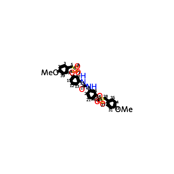 COc1ccc(CS(=O)(=O)Oc2cccc(NC(=O)Nc3cccc(OS(=O)(=O)Cc4ccc(OC)cc4)c3)c2)cc1